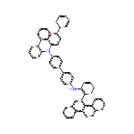 C1=CCC(c2ccc(N(c3ccc(-c4ccc(NC5=C(c6cc7ccccc7c7ccc8ccccc8c67)CCC=C5)cc4)cc3)c3ccccc3-c3ccccc3)cc2)C=C1